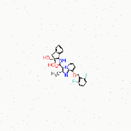 Cc1nc2c(OCc3c(F)cccc3F)cccn2c1C(=O)NC1c2ccccc2CC1(CO)CO